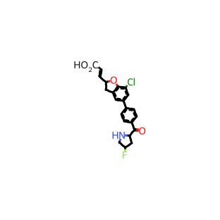 O=C(O)C=CC1Cc2cc(-c3ccc(C(=O)C4CC(F)CN4)cc3)cc(Cl)c2O1